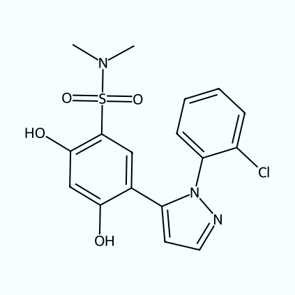 CN(C)S(=O)(=O)c1cc(-c2ccnn2-c2ccccc2Cl)c(O)cc1O